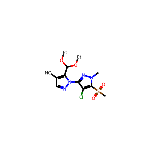 CCOC(OCC)c1c(C#N)cnn1-c1nn(C)c(S(C)(=O)=O)c1Cl